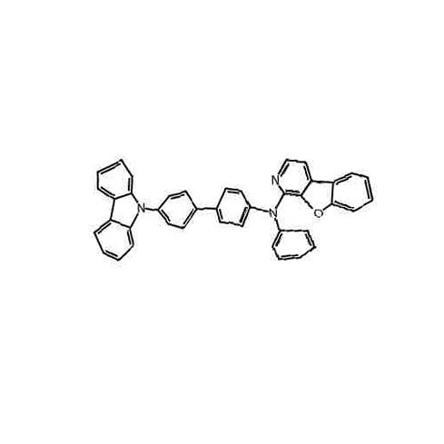 c1ccc(N(c2ccc(-c3ccc(-n4c5ccccc5c5ccccc54)cc3)cc2)c2nccc3c2oc2ccccc23)cc1